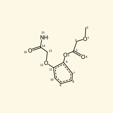 COCC(=O)Oc1ccccc1OCC([NH])=O